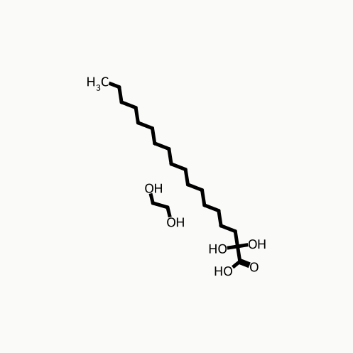 CCCCCCCCCCCCCCCCC(O)(O)C(=O)O.OCCO